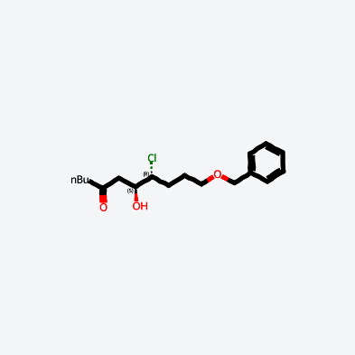 CCCCC(=O)C[C@H](O)[C@H](Cl)CCCOCc1ccccc1